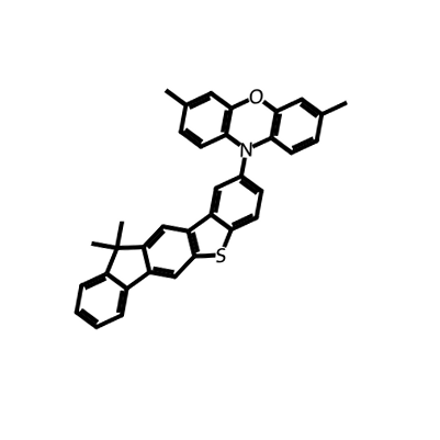 Cc1ccc2c(c1)Oc1cc(C)ccc1N2c1ccc2sc3cc4c(cc3c2c1)C(C)(C)c1ccccc1-4